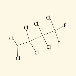 FC(F)(Cl)C(Cl)(Cl)C(Cl)(Cl)C(Cl)Cl